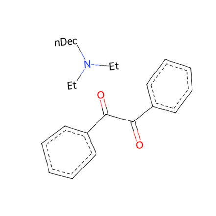 CCCCCCCCCCN(CC)CC.O=C(C(=O)c1ccccc1)c1ccccc1